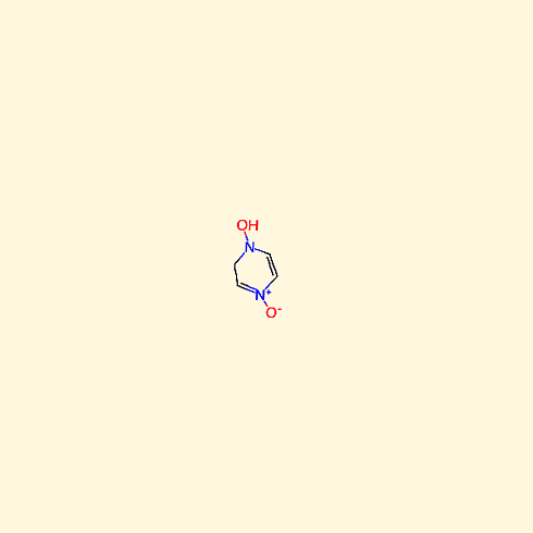 [O-][N+]1=CCN(O)C=C1